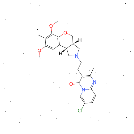 COc1cc2c(c(OC)c1C)OC[C@@H]1CN(CCc3c(C)nc4ccc(Cl)cn4c3=O)C[C@H]21